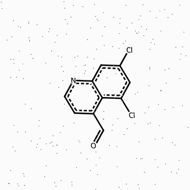 O=Cc1ccnc2cc(Cl)cc(Cl)c12